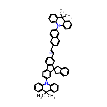 CC1(C)c2ccccc2N(c2ccc3c(c2)C2(Cc4ccccc4C2)c2cc(/C=C/c4ccc5cc(N6c7ccccc7C(C)(C)c7ccccc76)ccc5c4)ccc2-3)c2ccccc21